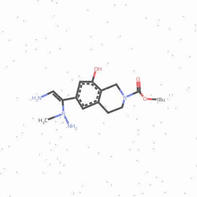 CN(N)/C(=C\N)c1cc(O)c2c(c1)CCN(C(=O)OC(C)(C)C)C2